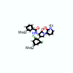 CCn1cccc(N2C[C@@H](c3c(F)cc(OC)cc3F)[C@H](NC(=O)c3cccc(OC)c3)C2=O)c1=O